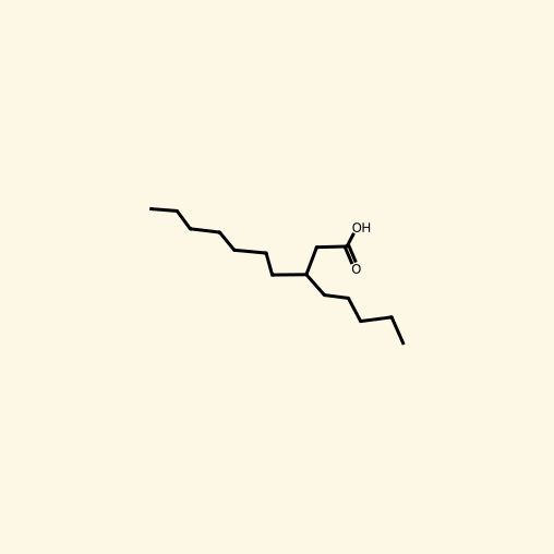 CCCCCCCC(CCCCC)CC(=O)O